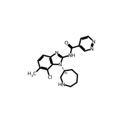 Cc1ccc2nc(NC(=O)c3ccnnc3)n([C@@H]3CCCCNC3)c2c1Cl